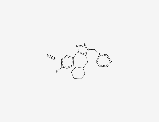 N#Cc1cc(-c2nnn(Cc3ccccc3)c2CC2CCCCC2)ccc1F